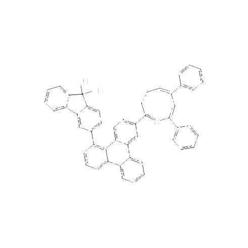 CC1(C)c2ccccc2-c2cc(-c3cccc4c5ccccc5c5cc(/C6=N/C(c7ccccc7)=C\C(c7ccccc7)=C/CC6)ccc5c34)ccc21